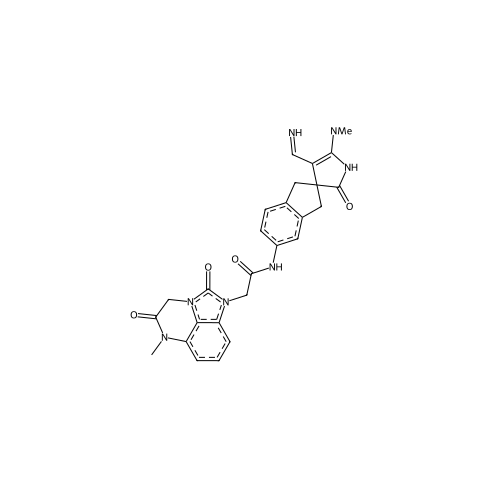 CNC1=C(C=N)C2(Cc3ccc(NC(=O)Cn4c(=O)n5c6c(cccc64)N(C)C(=O)C5)cc3C2)C(=O)N1